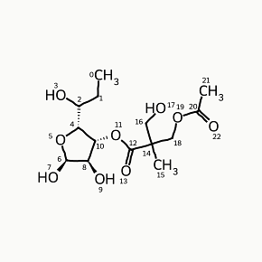 CCC(O)[C@H]1O[C@H](O)[C@H](O)[C@H]1OC(=O)C(C)(CO)COC(C)=O